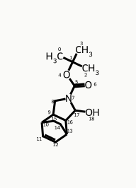 CC(C)(C)OC(=O)N1CC2C3C=CC(CC3)C2C1O